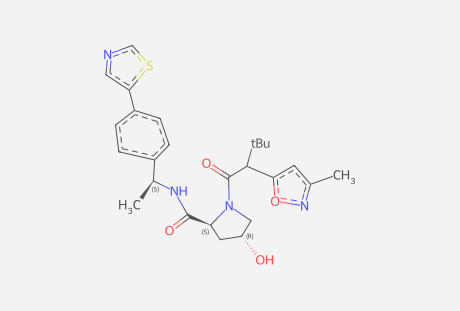 Cc1cc(C(C(=O)N2C[C@H](O)C[C@H]2C(=O)N[C@@H](C)c2ccc(-c3cncs3)cc2)C(C)(C)C)on1